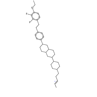 C/C=C/CCC1CCC(C2CCC3CC(c4ccc(CCc5ccc(OCC)c(F)c5F)cc4)CCC3C2)CC1